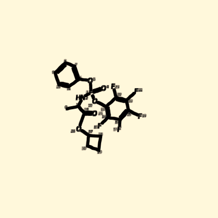 CC(NP(=O)(Oc1ccccc1)Oc1c(F)c(F)c(F)c(F)c1F)C(=O)OC1CCC1